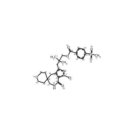 CCn1nc(CC(C)(C)COC(=O)c2ccc(S(C)(=O)=O)cc2)c2c1C(=O)NCC1(CCOCC1)C2